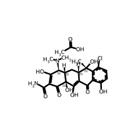 CC(=O)O.CN(C)[C@@H]1C(O)=C(C(N)=O)C(=O)[C@@]2(O)C(O)=C3C(=O)c4c(O)ccc(Cl)c4[C@@](C)(O)[C@H]3C[C@@H]12